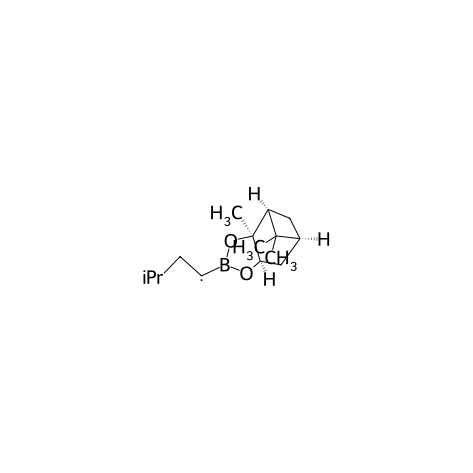 CC(C)C[CH]B1O[C@@H]2C[C@@H]3C[C@@H](C3(C)C)[C@]2(C)O1